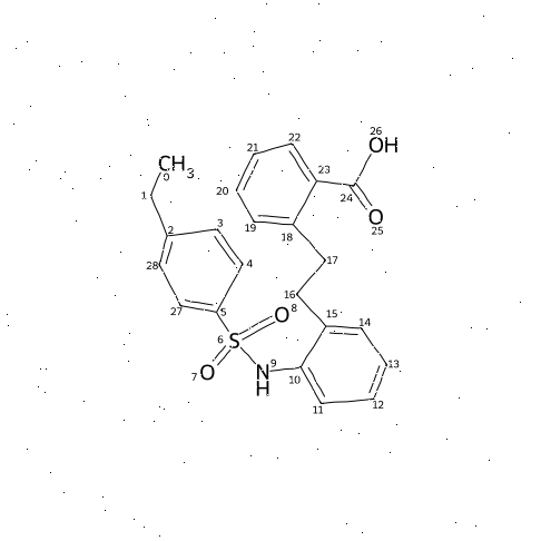 CCc1ccc(S(=O)(=O)Nc2ccccc2CCc2ccccc2C(=O)O)cc1